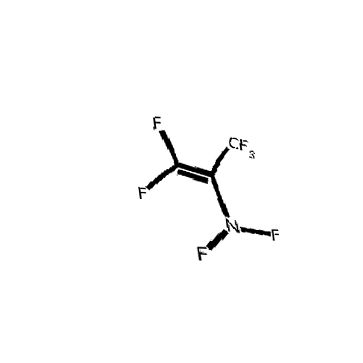 FC(F)=C(N(F)F)C(F)(F)F